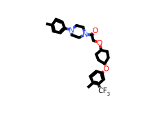 Cc1ccc(N2CCN(C(=O)COC3CCC(Oc4ccc(C)c(C(F)(F)F)c4)CC3)CC2)cc1